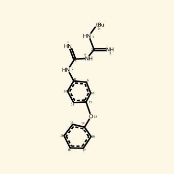 CC(C)(C)NC(=N)NC(=N)Nc1ccc(Oc2ccccc2)cc1